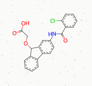 O=C(O)COC1c2ccccc2-c2ccc(NC(=O)c3ccccc3Cl)cc21